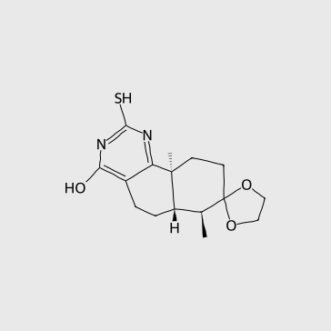 C[C@H]1[C@@H]2CCc3c(O)nc(S)nc3[C@@]2(C)CCC12OCCO2